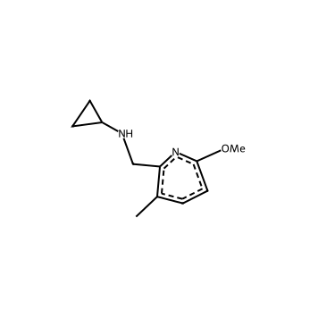 COc1ccc(C)c(CNC2CC2)n1